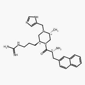 C[C@@H]1CN(C(=O)[C@H](N)Cc2ccc3ccccc3c2)[C@@H](CCCNC(=N)N)CN1Cc1cnc[nH]1